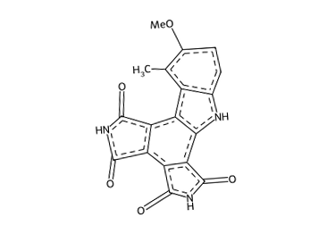 COc1ccc2[nH]c3c4c(=O)[nH]c(=O)c4c4c(=O)[nH]c(=O)c4c3c2c1C